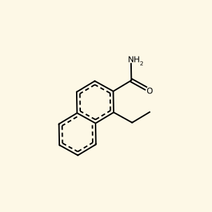 CCc1c(C(N)=O)ccc2ccccc12